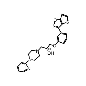 O[C@@H](COc1cccc(-c2noc3ccsc23)c1)CN1CCN(c2ccccn2)CC1